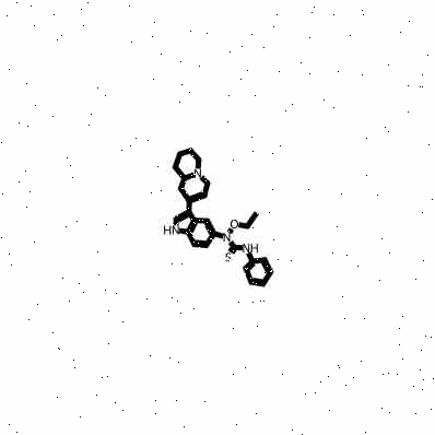 CCON(C(=S)Nc1ccccc1)c1ccc2[nH]cc(C3=CCN4CCCCC4C3)c2c1